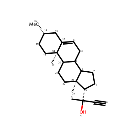 C#CC(C)(O)[C@H]1CCC2C3CC=C4C[C@@H](OC)CC[C@]4(C)C3CC[C@@]21C